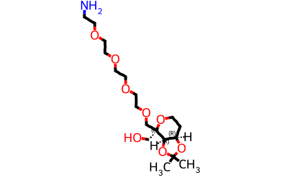 CC1(C)O[C@@H]2[C@@H](CCO[C@]2(CO)COCCOCCOCCOCCN)O1